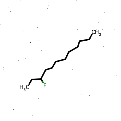 CCCCCCCCCC(F)CC